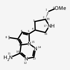 COC[C@H]1CC(c2cc(I)c3c(N)ncnn23)CN1